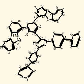 c1ccc(-c2ccc(-c3cc(-c4cc(-c5cccc6c5oc5ccccc56)cc(-c5cccc6c5oc5ccccc56)c4)nc(-c4ccc(-c5cccnc5)cc4)n3)cc2)cc1